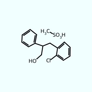 CS(=O)(=O)O.OCC(Cc1ccccc1Cl)c1ccccc1